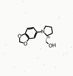 OC[C@H]1CCCN1c1ccc2c(c1)OCO2